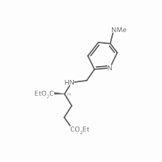 CCOC(=O)CC[C@H](NCc1ccc(NC)cn1)C(=O)OCC